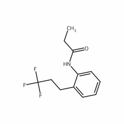 CCC(=O)Nc1ccccc1CCC(F)(F)F